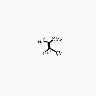 CC/C(C#N)=C(\N)SC